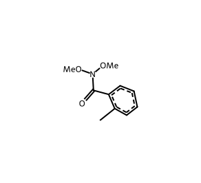 CON(OC)C(=O)c1ccccc1C